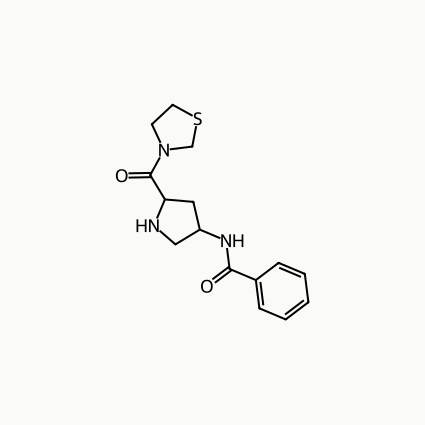 O=C(NC1CNC(C(=O)N2CCSC2)C1)c1ccccc1